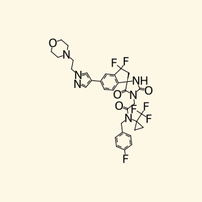 O=C1N[C@]2(CC(F)(F)c3cc(-c4cnn(CCN5CCOCC5)c4)ccc32)C(=O)N1CC(=O)N(Cc1ccc(F)cc1)C1(C(F)(F)F)CC1